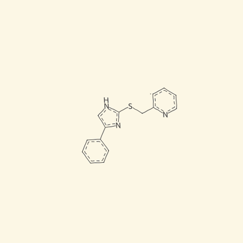 [c]1cccnc1CSc1nc(-c2ccccc2)c[nH]1